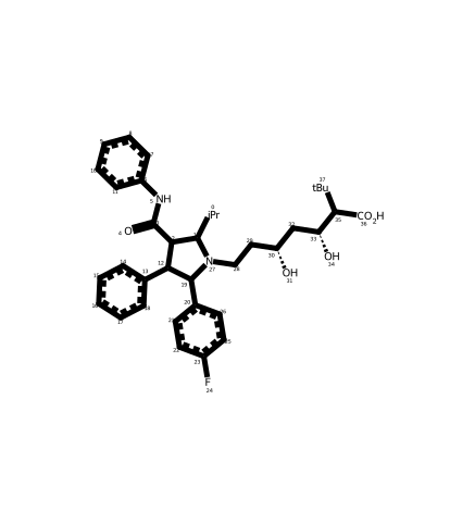 CC(C)C1C(C(=O)Nc2ccccc2)C(c2ccccc2)C(c2ccc(F)cc2)N1CC[C@@H](O)C[C@@H](O)C(C(=O)O)C(C)(C)C